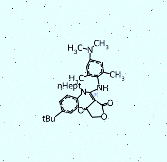 CCCCCCCN(/C(Nc1c(C)cc(N(C)C)cc1C)=C1\C(=O)COC1=O)c1ccc(C(C)(C)C)cc1